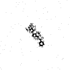 [N-]=[N+]=N[C@]1(CI)O[C@@H](c2csc3c(NC(=O)c4ccccc4)ncnc23)[C@H](F)[C@@H]1O